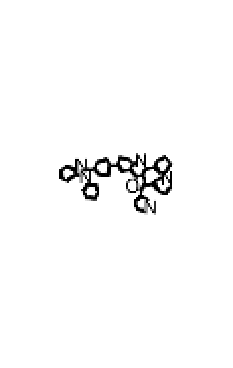 c1ccc(-c2nc3ccc(-c4ccc(-c5nc6ccccc6n5-c5ccccc5)cc4)cc3c3oc(-c4cccnc4)c(-c4cccnc4)c23)cc1